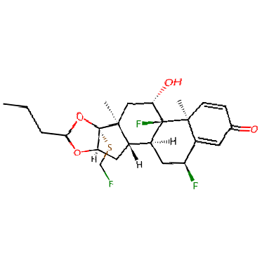 CCCC1O[C@@H]2C[C@H]3[C@@H]4C[C@H](F)C5=CC(=O)C=C[C@]5(C)[C@@]4(F)[C@@H](O)C[C@]3(C)[C@]2(SCF)O1